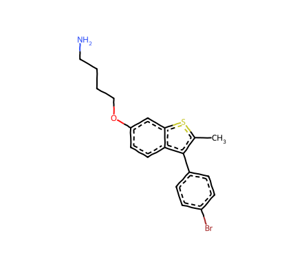 Cc1sc2cc(OCCCCN)ccc2c1-c1ccc(Br)cc1